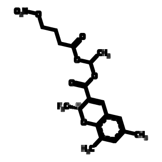 Cc1cc(C)c2c(c1)C=C(C(=O)OC(C)OC(=O)CCCO[N+](=O)[O-])[C@@H](C(F)(F)F)O2